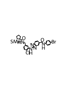 CSC1(C(=O)NCc2ccc(Cl)c(Nc3nc4cc(C(=O)Nc5ccc(Br)cc5)ccc4n3C)c2)CCCC1